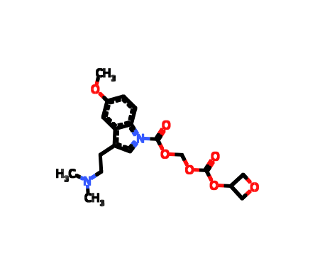 COc1ccc2c(c1)c(CCN(C)C)cn2C(=O)OCOC(=O)OC1COC1